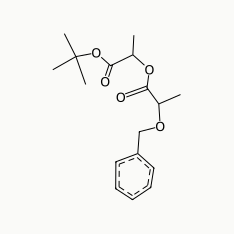 CC(OCc1ccccc1)C(=O)OC(C)C(=O)OC(C)(C)C